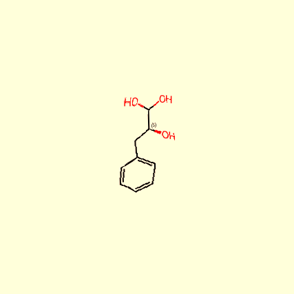 OC(O)[C@@H](O)Cc1ccccc1